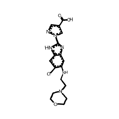 O=C(O)c1cnn(-c2nc3cc(NCCN4CCOCC4)c(Cl)cc3[nH]2)c1